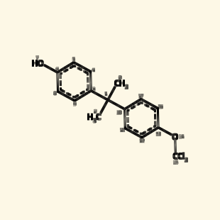 CC(C)(c1ccc(O)cc1)c1ccc(OC(Cl)(Cl)Cl)cc1